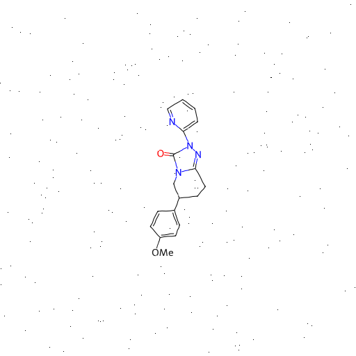 COc1ccc(C2CCc3nn(-c4ccccn4)c(=O)n3C2)cc1